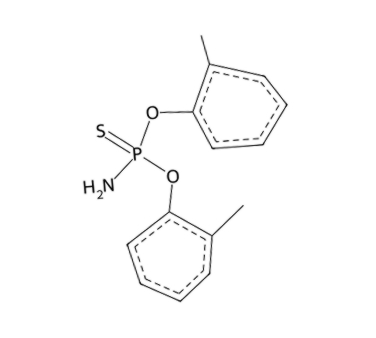 Cc1ccccc1OP(N)(=S)Oc1ccccc1C